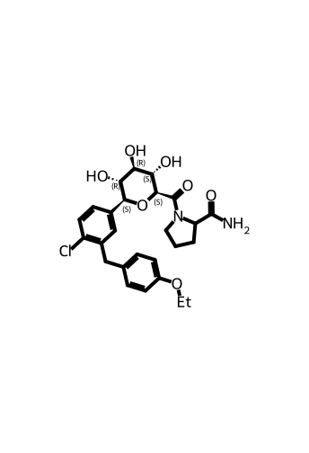 CCOc1ccc(Cc2cc([C@@H]3O[C@H](C(=O)N4CCCC4C(N)=O)[C@@H](O)[C@H](O)[C@H]3O)ccc2Cl)cc1